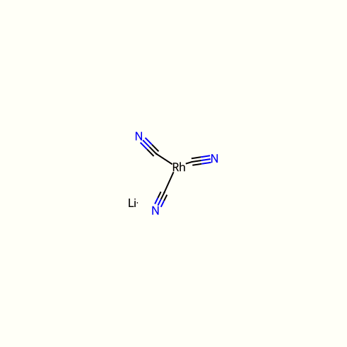 N#[C][Rh]([C]#N)[C]#N.[Li]